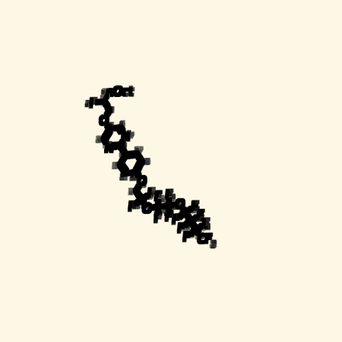 CCCCCCCC[C@H](F)COc1cnc(-c2ccc(OCC(F)(F)OC(F)(F)C(F)(F)OC(F)(F)C(F)(F)C(F)(F)C(F)(F)F)cc2)nc1